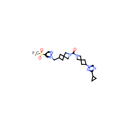 O=C(N1CC2(CC(Cn3cc(S(=O)(=O)C(F)(F)F)cn3)C2)C1)N1CC2(CC(n3cnc(C4CC4)n3)C2)C1